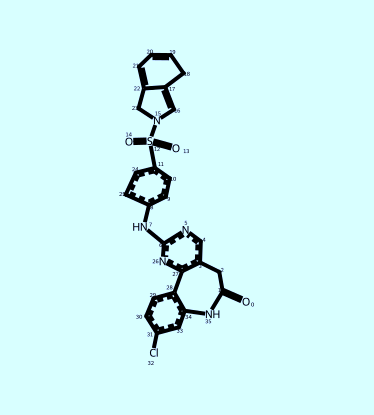 O=C1Cc2cnc(Nc3ccc(S(=O)(=O)N4C=C5CC=CC=C5C4)cc3)nc2-c2ccc(Cl)cc2N1